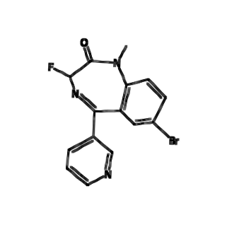 CN1C(=O)C(F)N=C(c2cccnc2)c2cc(Br)ccc21